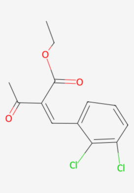 CCOC(=O)C(=Cc1cccc(Cl)c1Cl)C(C)=O